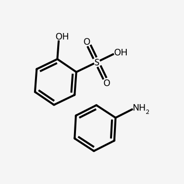 Nc1ccccc1.O=S(=O)(O)c1ccccc1O